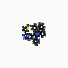 CSc1ccc(-c2cnc3ccc(-c4cn(C(c5ccccc5)(c5ccccc5)c5ccccc5)nc4-c4ccccn4)cn23)s1